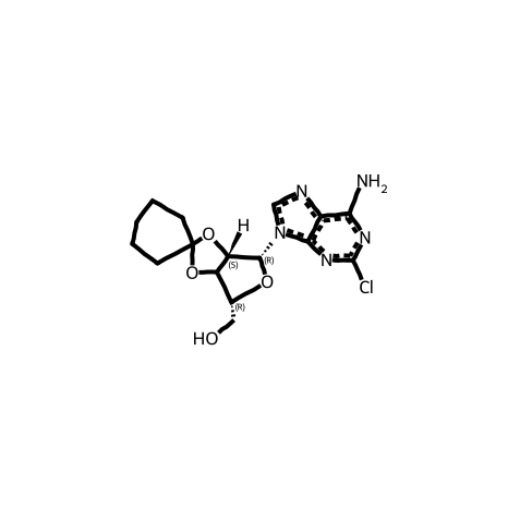 Nc1nc(Cl)nc2c1ncn2[C@@H]1O[C@H](CO)C2OC3(CCCCC3)O[C@@H]21